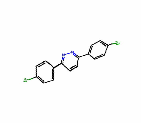 Brc1ccc(-c2ccc(-c3ccc(Br)cc3)nn2)cc1